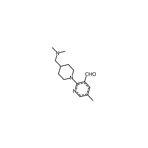 Cc1cnc(N2CCC(CN(C)C)CC2)c(C=O)c1